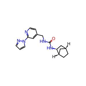 O=C(NCc1ccnc(-n2cccn2)c1)N[C@H]1C[C@@H]2CC[C@H]1C2